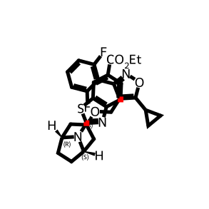 CCOC(=O)c1ccc2nc(N3[C@@H]4CC[C@H]3C[C@H](OCc3c(-c5c(F)cccc5F)noc3C3CC3)C4)sc2c1